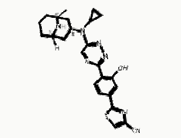 C[C@@]12CCC[C@@H](C[C@H](N(c3cnc(-c4ccc(-c5nc(C#N)cs5)cc4O)nn3)C3CC3)C1)N2